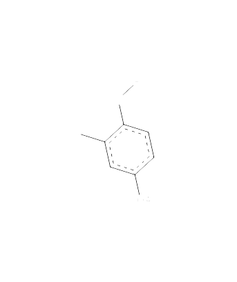 CCOc1ccc(OC(C)=O)cc1C